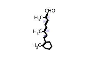 CC1=C(/C=C/C(C)=C/C=C/C(C)=C/C=O)CCCC1